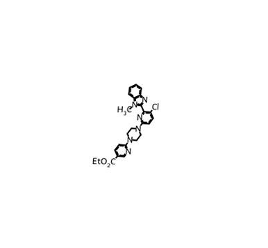 CCOC(=O)c1ccc(N2CCN(c3ccc(Cl)c(-c4nc5ccccc5n4C)n3)CC2)nc1